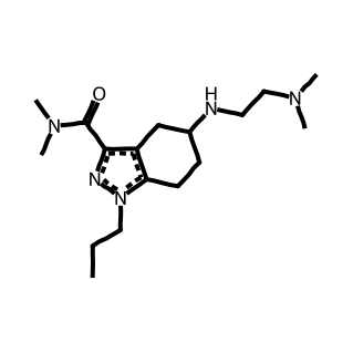 CCCn1nc(C(=O)N(C)C)c2c1CCC(NCCN(C)C)C2